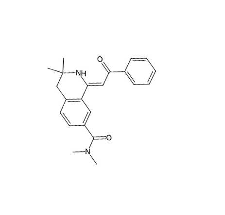 CN(C)C(=O)c1ccc2c(c1)C(=CC(=O)c1ccccc1)NC(C)(C)C2